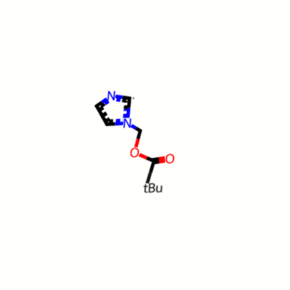 CC(C)(C)C(=O)OCn1[c]ncc1